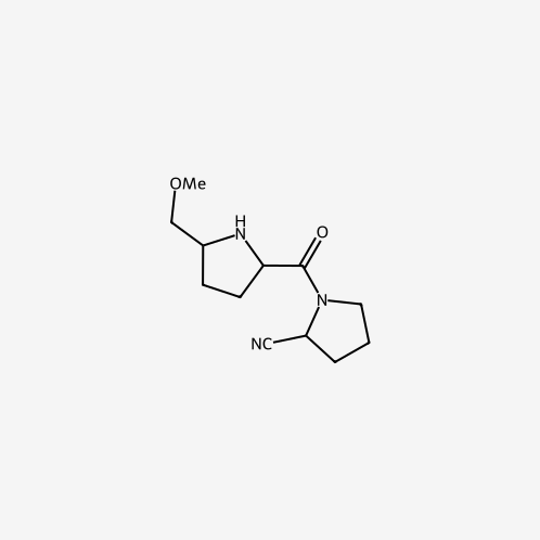 COCC1CCC(C(=O)N2CCCC2C#N)N1